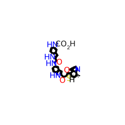 C[C@H]1C[C@H]2SC(C(=O)c3cc4cc(NC(=O)c5cc6cc(NC(=O)O)ccc6[nH]5)ccc4[nH]3)C=C2C23C(=O)C2=CN=C13